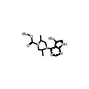 CC1CN(c2ncnc3[nH]cc(C(C)(C)C)c23)C(C)CN1C(=O)OC(C)(C)C